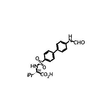 CC(C)[C@H](NS(=O)(=O)c1ccc(-c2ccc(NC=O)cc2)cc1)C(=O)O